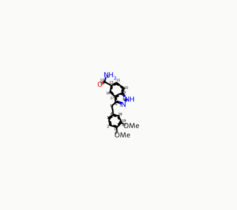 COc1ccc(Cc2n[nH]c3ccc(C(N)=O)cc23)cc1OC